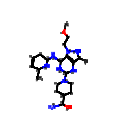 CCOCCN1NC(CC)C2=C1C(NC1CC=CC(C)N1)NC(N1CCC(C(N)O)CC1)N2